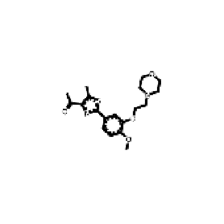 COc1ccc(-c2nc(C(C)=O)c(C)s2)cc1OCCN1CCOCC1